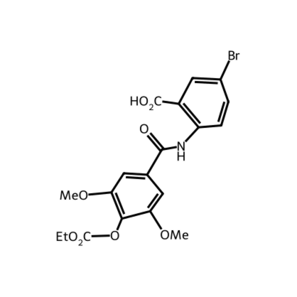 CCOC(=O)Oc1c(OC)cc(C(=O)Nc2ccc(Br)cc2C(=O)O)cc1OC